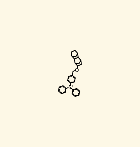 c1ccc([S+](c2ccccc2)c2ccc(COC3CC4CC3C3C5CCC(C5)C43)cc2)cc1